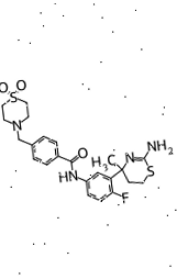 CC1(c2cc(NC(=O)c3ccc(CN4CCS(=O)(=O)CC4)cc3)ccc2F)CCSC(N)=N1